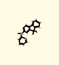 CN(c1ccc2c(c1)C(C)(C)c1ccccc1-2)c1ccccn1